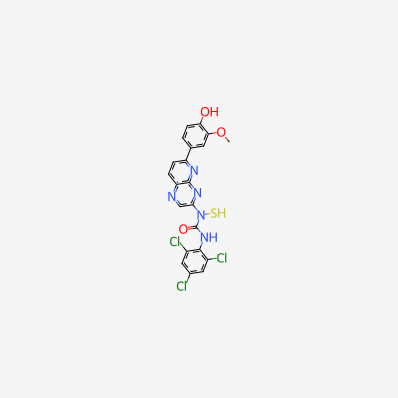 COc1cc(-c2ccc3ncc(N(S)C(=O)Nc4c(Cl)cc(Cl)cc4Cl)nc3n2)ccc1O